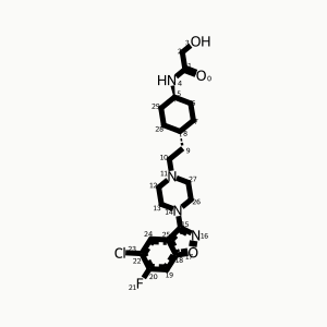 O=C(CO)N[C@H]1CC[C@H](CCN2CCN(c3noc4cc(F)c(Cl)cc34)CC2)CC1